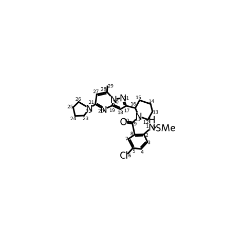 CSNc1ccc(Cl)cc1C(=O)N1CCCCC1c1cc2nc(N3CCCC3)cc(C)n2n1